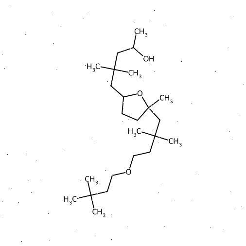 CC(O)CC(C)(C)CC1CCC(C)(CC(C)(C)CCOCCC(C)(C)C)O1